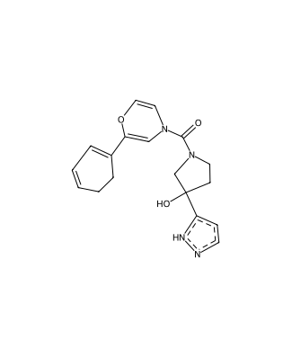 O=C(N1C=COC(C2=CC=CCC2)=C1)N1CCC(O)(c2ccn[nH]2)C1